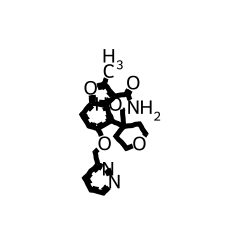 Cc1oc2ccc(OCc3cccnn3)c(C3(CO)CCOCC3)c2c1C(N)=O